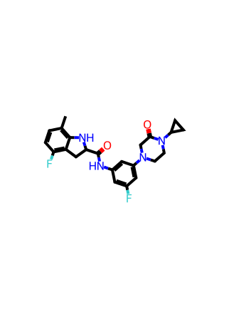 Cc1ccc(F)c2c1NC(C(=O)Nc1cc(F)cc(N3CCN(C4CC4)C(=O)C3)c1)C2